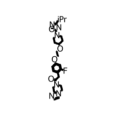 CC(C)c1noc(N2CCC(OCCOc3ccc(CC(=O)N4CCn5ccnc5C4)c(F)c3)CC2)n1